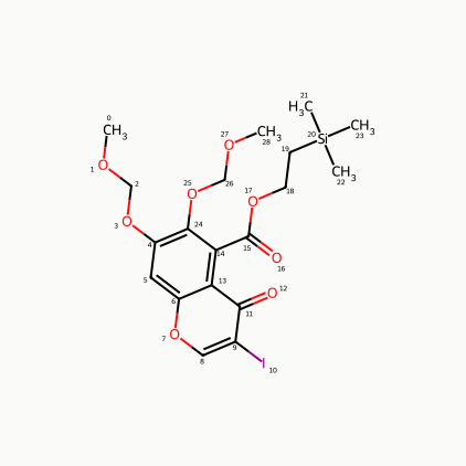 COCOc1cc2occ(I)c(=O)c2c(C(=O)OCC[Si](C)(C)C)c1OCOC